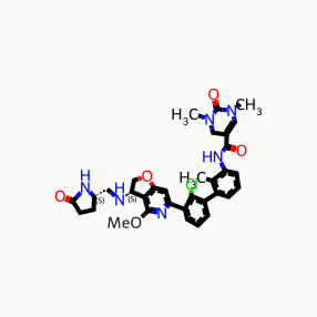 COc1nc(-c2cccc(-c3cccc(NC(=O)C4=CN(C)C(=O)N(C)C4)c3C)c2Cl)cc2c1[C@H](NC[C@@H]1CCC(=O)N1)CO2